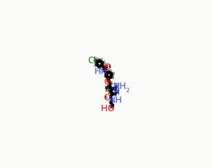 Nc1ncc(C(=O)NCCO)c2scc(COc3cccc(NC(=O)c4ccc(Cl)cc4)c3)c12